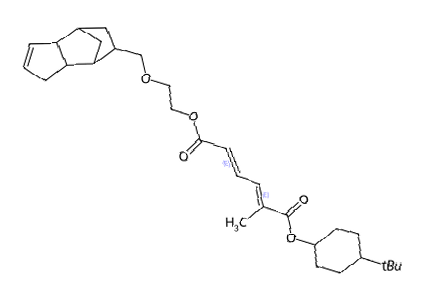 C/C(=C\C=C\C(=O)OCCOCC1CC2CC1C1CC=CC21)C(=O)OC1CCC(C(C)(C)C)CC1